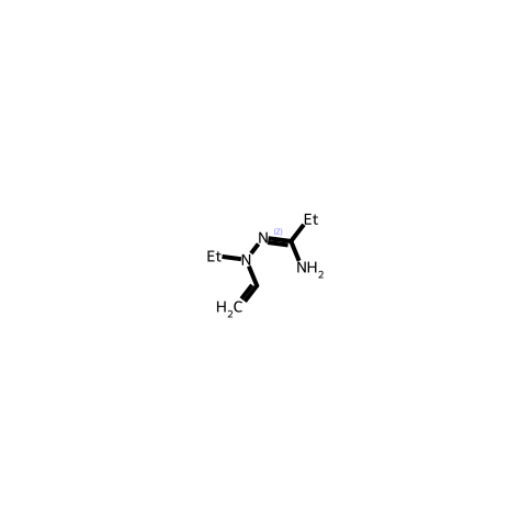 C=CN(CC)/N=C(\N)CC